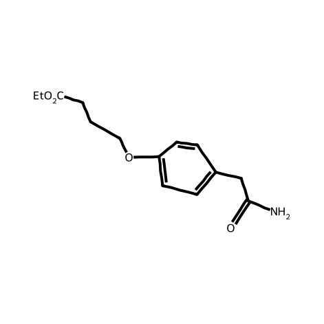 CCOC(=O)CCCOc1ccc(CC(N)=O)cc1